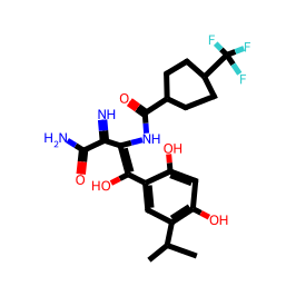 CC(C)c1cc(/C(O)=C(\NC(=O)C2CCC(C(F)(F)F)CC2)C(=N)C(N)=O)c(O)cc1O